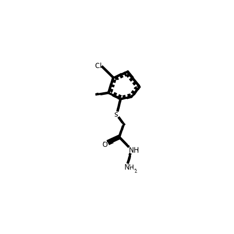 Cc1c(Cl)cccc1SCC(=O)NN